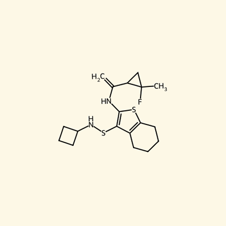 C=C(Nc1sc2c(c1SNC1CCC1)CCCC2)C1CC1(C)F